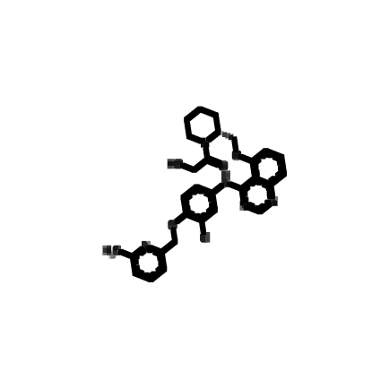 Cc1cccc(COc2ccc(Nc3ncnc4cccc(OC[C@H]5CCCCN5C(=O)CO)c34)cc2Cl)n1